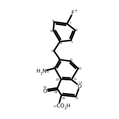 Nc1c(Cc2ccc(F)cc2)ccc2occ(C(=O)O)c(=O)c12